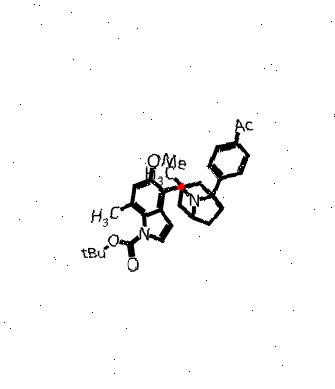 COc1cc(C)c2c(ccn2C(=O)OC(C)(C)C)c1CN1C2CCC1(c1ccc(C(C)=O)cc1)CC(C)C2